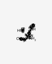 N#Cc1c(N)nc(SCc2csc(-c3ccc(Cl)cc3)n2)c(C#N)c1-c1ccc(OCCN[C@@H](Cc2ccccc2)C(=O)O)cc1.O=C(O)C(F)(F)F